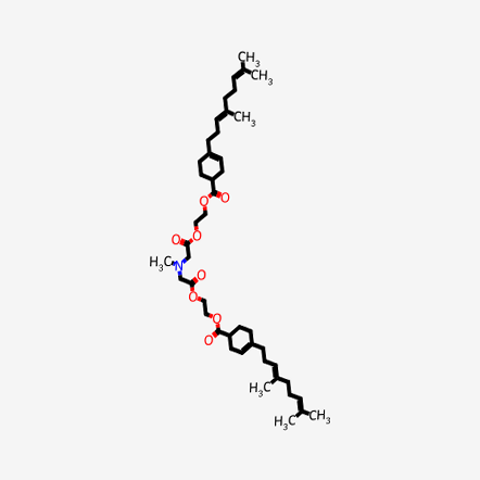 CC(C)=CCC/C(C)=C/CCC1=CCC(C(=O)OCCOC(=O)CN(C)CC(=O)OCCOC(=O)C2CC=C(CC/C=C(\C)CCC=C(C)C)CC2)CC1